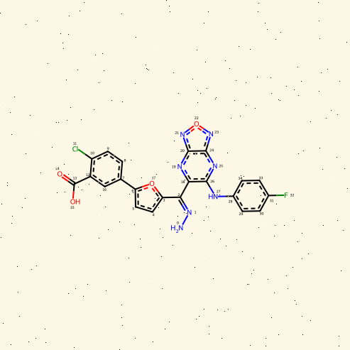 NN=C(c1ccc(-c2ccc(Cl)c(C(=O)O)c2)o1)c1nc2nonc2nc1Nc1ccc(F)cc1